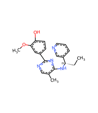 CC[C@H](Nc1nc(-c2ccc(O)c(OC)c2)ncc1C)c1cccnc1